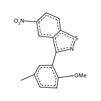 COc1ccc(C)cc1-c1nsc2ccc([N+](=O)[O-])cc12